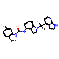 [2H]C([2H])(c1ccnc2[nH]ccc12)N1CCc2c(NC(=O)Nc3cc(C(F)(F)F)ccc3OC)cccc21